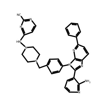 N#Cc1nccc(NN2CCN(Cc3ccc(-n4c(-c5cccnc5N)nc5ccc(-c6ccccc6)nc54)cc3)CC2)n1